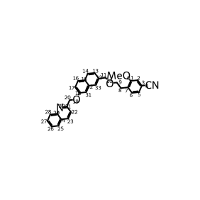 COc1cc(C#N)ccc1CCOCc1ccc2ccc(OCc3ccc4ccccc4n3)cc2c1